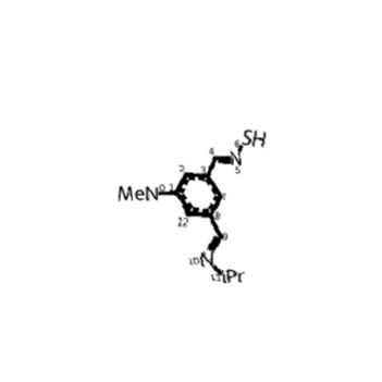 CNc1cc(/C=N/S)cc(/C=N/C(C)C)c1